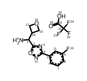 NC(c1nc(-c2cccc(F)c2)no1)C1COC1.O=C(O)C(F)(F)F